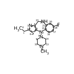 CCc1nc2c(s1)N(N1CCN(C)CC1)c1ccc(F)cc1NC2